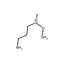 C[SiH](CCCN)O[SiH3]